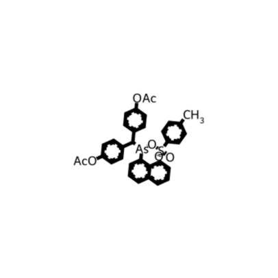 CC(=O)Oc1ccc(C(c2ccc(OC(C)=O)cc2)[As](OS(=O)(=O)c2ccc(C)cc2)c2cccc3ccccc23)cc1